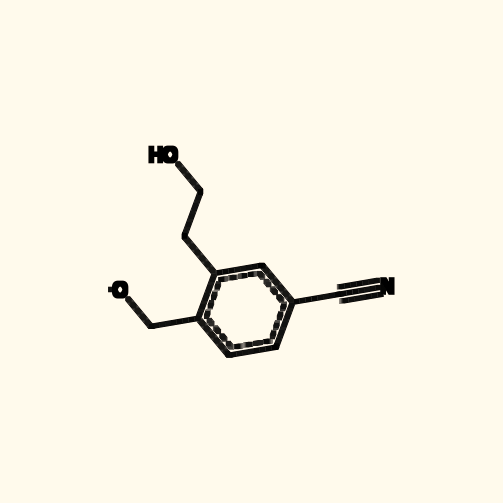 N#Cc1ccc(C[O])c(CCO)c1